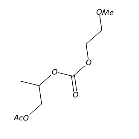 COCCOC(=O)OC(C)COC(C)=O